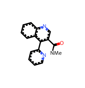 CNC(=O)c1cnc2ccccc2c1-c1ccccn1